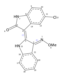 CO/N=C1/C(=C2/C(=O)Nc3ccc(Cl)cc32)Nc2ccccc21